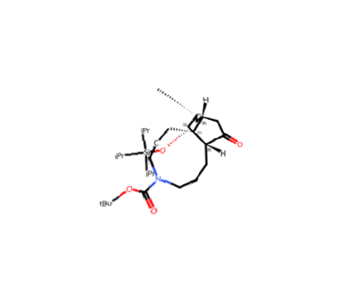 CC(C)[Si](O[C@H]1C[C@H](C)C[C@@H]2CC(=O)[C@@H]3CCCN(C(=O)OC(C)(C)C)CCC[C@@]213)(C(C)C)C(C)C